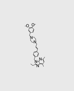 CCc1nc2c(C)cc(C)nc2n1Cc1ccc(/C=C/CN2CCN(Cc3ccc(OC)c(OC)c3)CC2)cc1